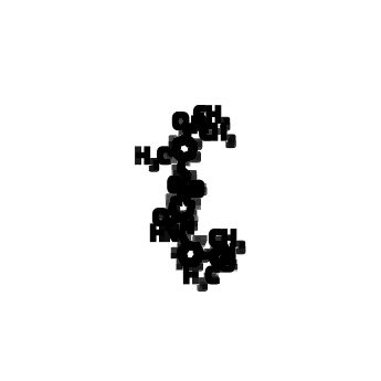 Cc1cc(C(=O)N(C)C)ccc1CCS(=O)(=O)N1CCC2(CC1)N=C(c1cccc(-c3c(C)noc3C)c1)NC2=O